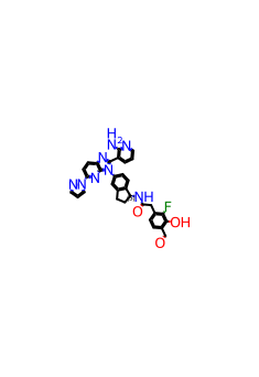 Nc1ncccc1-c1nc2ccc(-n3cccn3)nc2n1-c1ccc2c(c1)CC[C@@H]2NC(=O)Cc1ccc(C=O)c(O)c1F